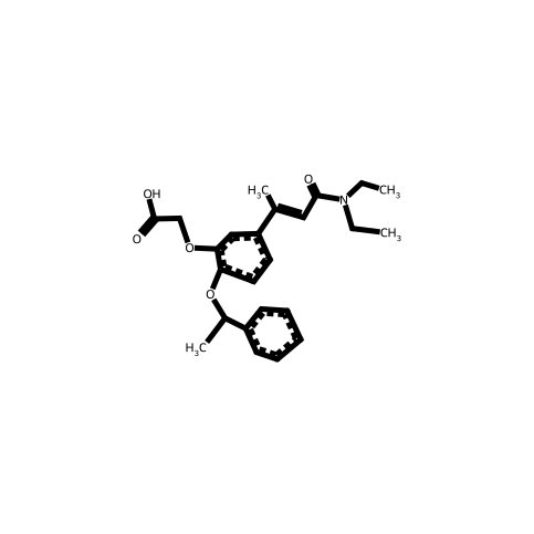 CCN(CC)C(=O)/C=C(\C)c1ccc(OC(C)c2ccccc2)c(OCC(=O)O)c1